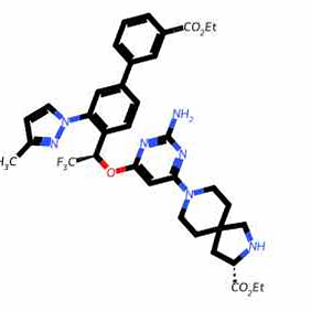 CCOC(=O)c1cccc(-c2ccc([C@@H](Oc3cc(N4CCC5(CC4)CN[C@H](C(=O)OCC)C5)nc(N)n3)C(F)(F)F)c(-n3ccc(C)n3)c2)c1